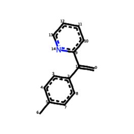 C=C(c1ccc(C)cc1)c1ccccn1